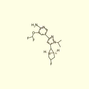 CC(C)n1nc(-c2cnc(N)c(OC(F)F)c2)cc1C1[C@H]2CC(F)C[C@@H]12